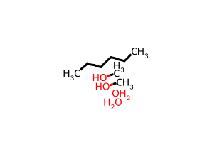 CCCCCC.CO.CO.O.O